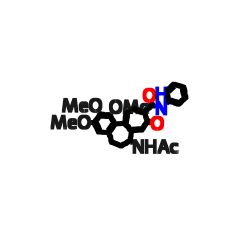 COc1cc2c(c(OC)c1OC)-c1ccc(C(=O)Nc3ccccc3)c(=O)cc1C(NC(C)=O)CC2